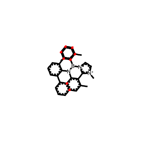 Cc1cccc(C)c1B1N(c2c(-c3ccccc3)cccc2-c2ccccc2)c2cccc(C)c2-c2n1cc[n+]2C